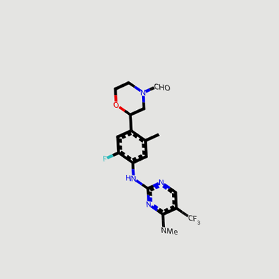 CNc1nc(Nc2cc(C)c(C3CN(C=O)CCO3)cc2F)ncc1C(F)(F)F